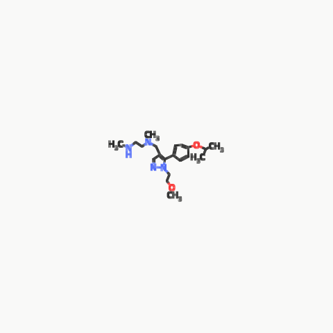 CNCCN(C)Cc1cnn(CCOC)c1-c1ccc(OC(C)C)cc1